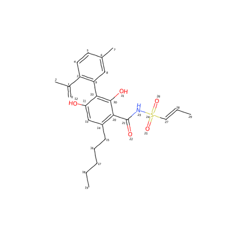 C=C(C)c1ccc(C)cc1-c1c(O)cc(CCCCC)c(C(=O)NS(=O)(=O)/C=C/C)c1O